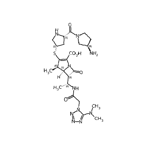 C[C@@H](NC(=O)Cn1nnnc1N(C)C)[C@H]1C(=O)N2C(C(=O)O)=C(S[C@@H]3CN[C@H](C(=O)N4CC[C@@H](N)C4)C3)[C@H](C)[C@H]12